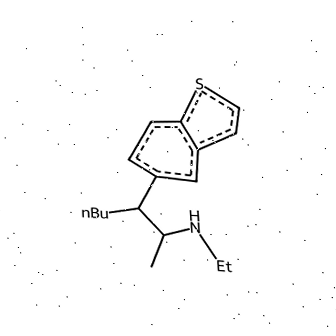 CCCCC(c1ccc2sccc2c1)C(C)NCC